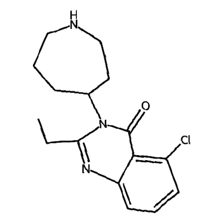 CCc1nc2cccc(Cl)c2c(=O)n1C1CCCNCC1